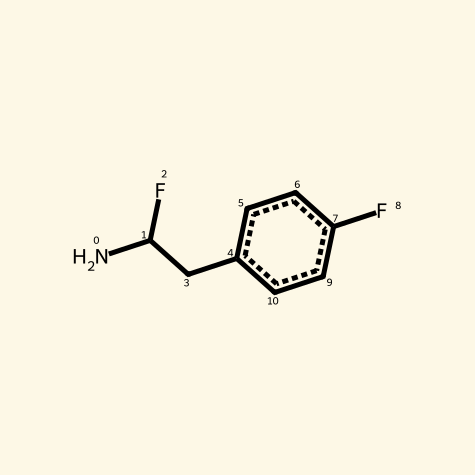 NC(F)Cc1ccc(F)cc1